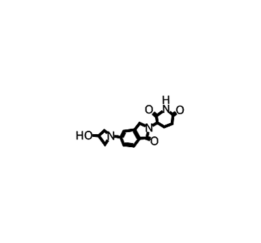 O=C1CCC(N2Cc3cc(N4CC(O)C4)ccc3C2=O)C(=O)N1